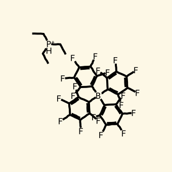 CC[PH+](CC)CC.Fc1c(F)c(F)c([B-](c2c(F)c(F)c(F)c(F)c2F)(c2c(F)c(F)c(F)c(F)c2F)c2c(F)c(F)c(F)c(F)c2F)c(F)c1F